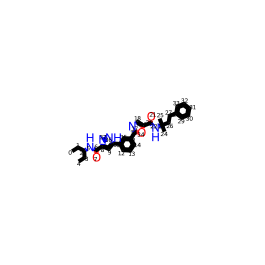 CCC(CC)NC(=O)c1cc(-c2cccc(-c3ncc(C(=O)NC(C)(C)CCc4ccccc4)o3)c2)[nH]n1